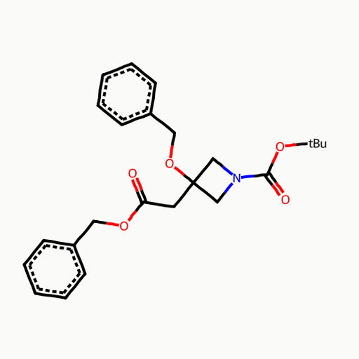 CC(C)(C)OC(=O)N1CC(CC(=O)OCc2ccccc2)(OCc2ccccc2)C1